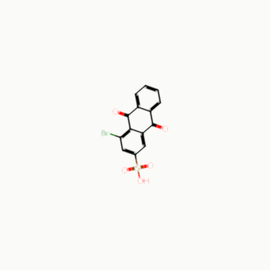 O=C1c2ccccc2C(=O)c2c(Br)cc(S(=O)(=O)O)cc21